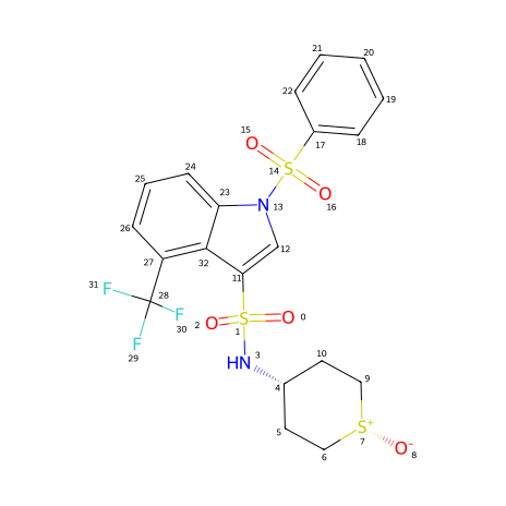 O=S(=O)(N[C@H]1CC[S@@+]([O-])CC1)c1cn(S(=O)(=O)c2ccccc2)c2cccc(C(F)(F)F)c12